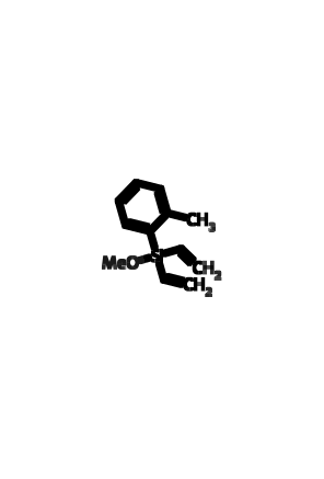 C=C[Si](C=C)(OC)c1ccccc1C